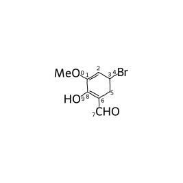 COC1=CC(Br)CC(C=O)=C1O